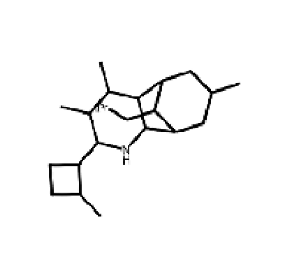 CC(C)CC1C2CC(C)CC1C1C(C)C(C)C(C3CCC3C)NC21